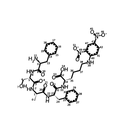 C[C@H](NC(=O)[C@H](CO)NC(=O)[C@@H](N)Cc1ccccc1)C(=O)N[C@@H](Cc1ccccc1)C(=O)N[C@@H](CCCCNc1ccc([N+](=O)[O-])cc1[N+](=O)[O-])C(=O)O